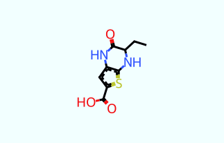 CCC1Nc2sc(C(=O)O)cc2NC1=O